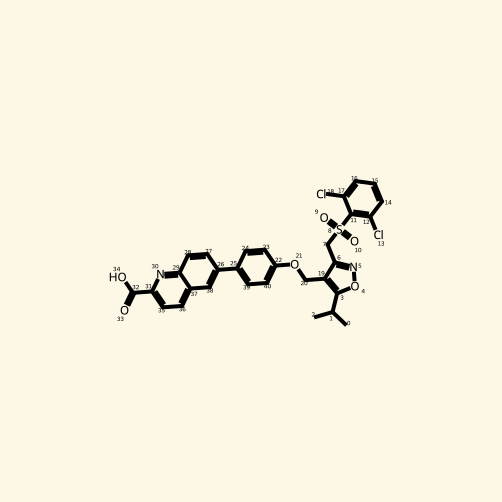 CC(C)c1onc(CS(=O)(=O)c2c(Cl)cccc2Cl)c1COc1ccc(-c2ccc3nc(C(=O)O)ccc3c2)cc1